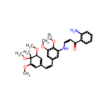 COC1=CC(/C=C\c2cc(N/C=C\C(=O)c3ccccc3N)c(OC)c(OC)c2)=CC(OC)C1(C)OC